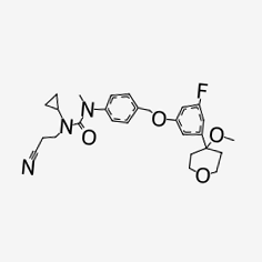 COC1(c2cc(F)cc(OCc3ccc(N(C)C(=O)N(CCC#N)C4CC4)cc3)c2)CCOCC1